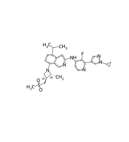 CC(C)c1ccc(N2C[C@H](CS(C)(=O)=O)[C@H]2C)c2cnc(Nc3ccnc(-c4cnn(C5CC5)c4)c3F)cc12